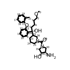 COCCCC[C@](O)(c1ccccc1Oc1ccccc1C)C1CCCN(C(=O)N2C[C@@H](N)[C@H](O)C2)C1